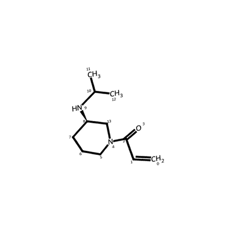 C=CC(=O)N1CCC[C@@H](NC(C)C)C1